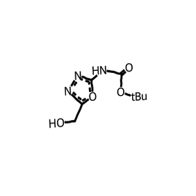 CC(C)(C)OC(=O)Nc1nnc(CO)o1